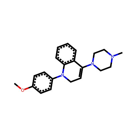 COc1ccc(N2CC=C(N3CCN(C)CC3)c3ccccc32)cc1